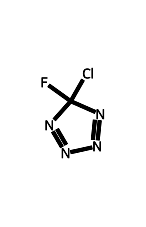 FC1(Cl)N=NN=N1